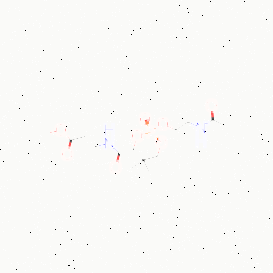 COC(=O)CCNC(=O)[C@@H]1OP(=O)(OCCNC(C)=O)OCC1(C)C